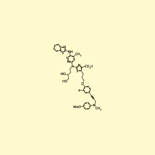 COc1ccc(N(C)CC#Cc2ccc(OCCCc3sc(N(CCC(O)CO)c4cc(C)c(Nc5nc6ccccc6s5)nn4)nc3C(=O)O)c(F)c2)cc1